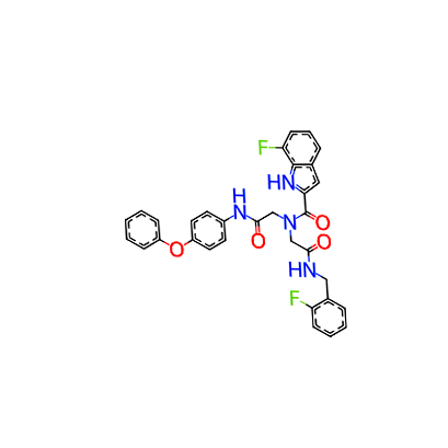 O=C(CN(CC(=O)Nc1ccc(Oc2ccccc2)cc1)C(=O)c1cc2cccc(F)c2[nH]1)NCc1ccccc1F